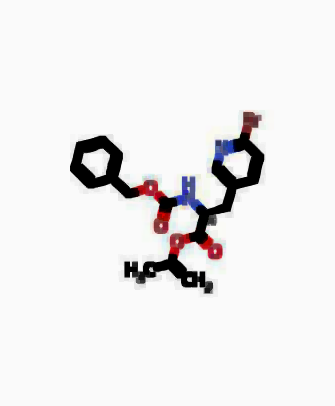 C=C(C)OC(=O)[C@H](Cc1ccc(Br)nc1)NC(=O)OCc1ccccc1